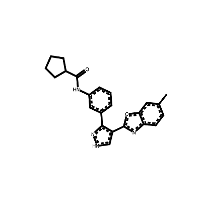 Cc1ccc2nc(-c3c[nH]nc3-c3cccc(NC(=O)C4CCCC4)c3)oc2c1